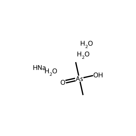 C[As](C)(=O)O.O.O.O.[NaH]